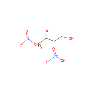 CC(O)CCO.O=[N+]([O-])O.O=[N+]([O-])O